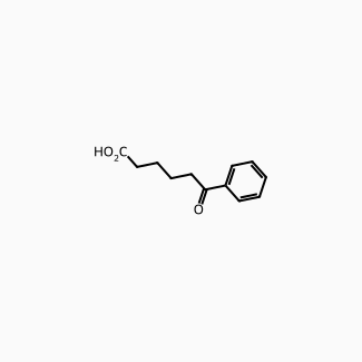 O=C(O)CCCCC(=O)c1ccccc1